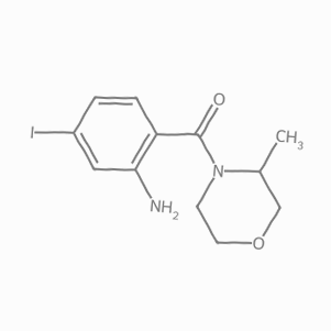 CC1COCCN1C(=O)c1ccc(I)cc1N